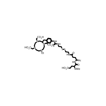 CCN1CCN(CC(=O)O)CCN(CC(=O)O)CC(Cc2ccc(NC(=S)NCCSSCCNC(=O)CCC(NC(=O)C(CCC(=O)O)NC)C(C)=O)cc2)N(CC(=O)O)CC1